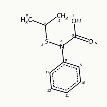 CC(C)SN(C(=O)O)c1ccccc1